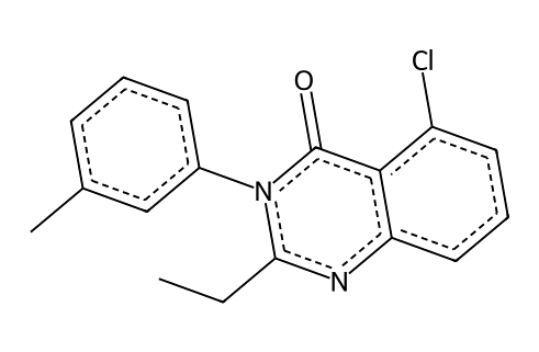 CCc1nc2cccc(Cl)c2c(=O)n1-c1cccc(C)c1